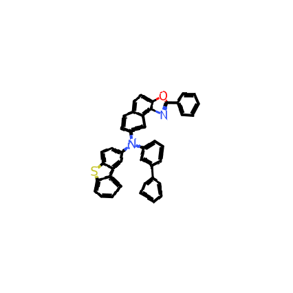 c1ccc(-c2cccc(N(c3ccc4sc5ccccc5c4c3)c3ccc4ccc5oc(-c6ccccc6)nc5c4c3)c2)cc1